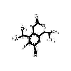 CC(C)Cc1cc(C#N)c(F)c(C(C)C)c1CC(=O)Cl